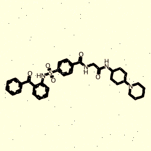 O=C(CNC(=O)c1ccc(S(=O)(=O)Nc2ccccc2C(=O)c2ccccc2)cc1)NC1CCC(N2CCCCC2)CC1